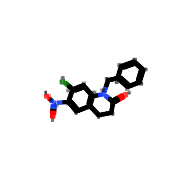 O=C1CCc2cc([N+](=O)[O-])c(Cl)cc2N1Cc1ccccc1